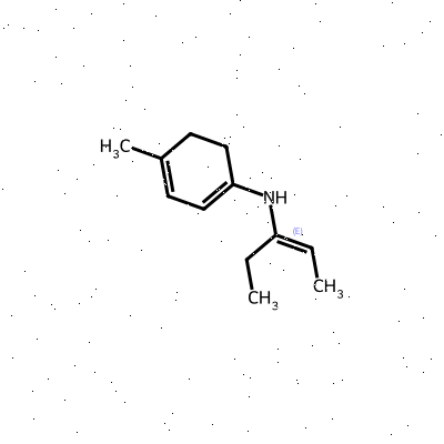 C/C=C(\CC)NC1=CC=C(C)CC1